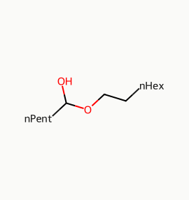 CCCCCCCCOC(O)CCCCC